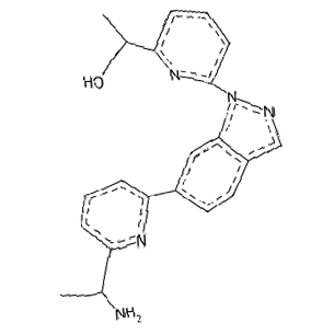 CC(N)c1cccc(-c2ccc3cnn(-c4cccc(C(C)O)n4)c3c2)n1